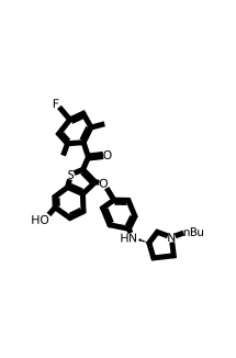 CCCCN1CC[C@H](Nc2ccc(Oc3c(C(=O)c4c(C)cc(F)cc4C)sc4cc(O)ccc34)cc2)C1